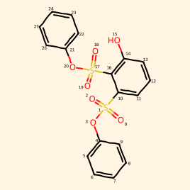 O=S(=O)(Oc1ccccc1)c1cccc(O)c1S(=O)(=O)Oc1ccccc1